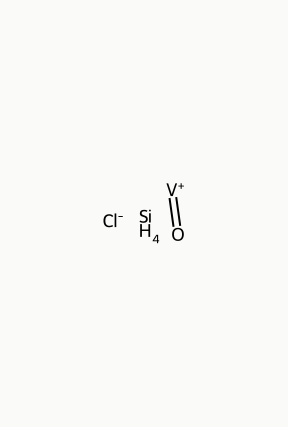 [Cl-].[O]=[V+].[SiH4]